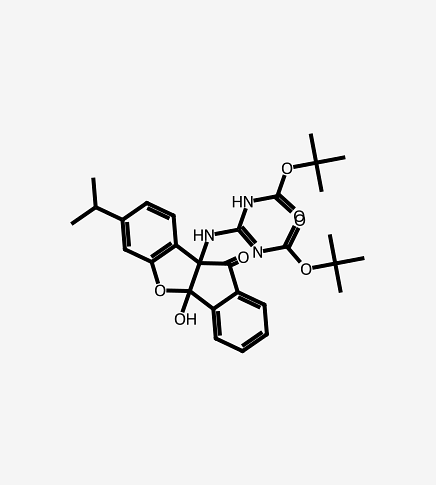 CC(C)c1ccc2c(c1)OC1(O)c3ccccc3C(=O)C21NC(=NC(=O)OC(C)(C)C)NC(=O)OC(C)(C)C